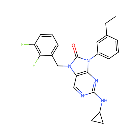 CCc1cccc(-n2c(=O)n(Cc3cccc(F)c3F)c3cnc(NC4CC4)nc32)c1